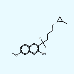 COc1ccc2cc(C(F)(F)CCCC[C@@H]3CC3C)c(O)nc2c1